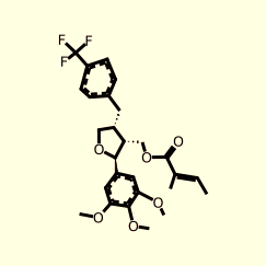 C/C=C(\C)C(=O)OC[C@H]1[C@@H](Cc2ccc(C(F)(F)F)cc2)CO[C@@H]1c1cc(OC)c(OC)c(OC)c1